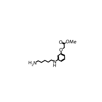 COC(=O)COc1cccc(NCCCCCN)c1